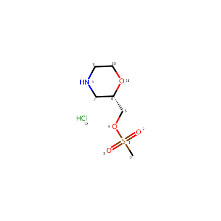 CS(=O)(=O)OC[C@@H]1CNCCO1.Cl